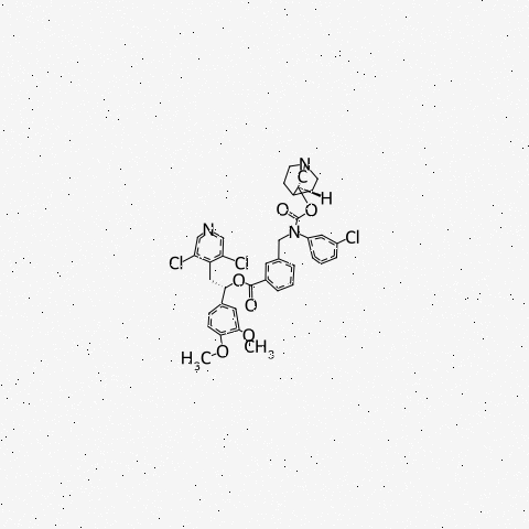 COc1ccc([C@H](Cc2c(Cl)cncc2Cl)OC(=O)c2cccc(CN(C(=O)O[C@H]3CN4CCC3CC4)c3cccc(Cl)c3)c2)cc1OC